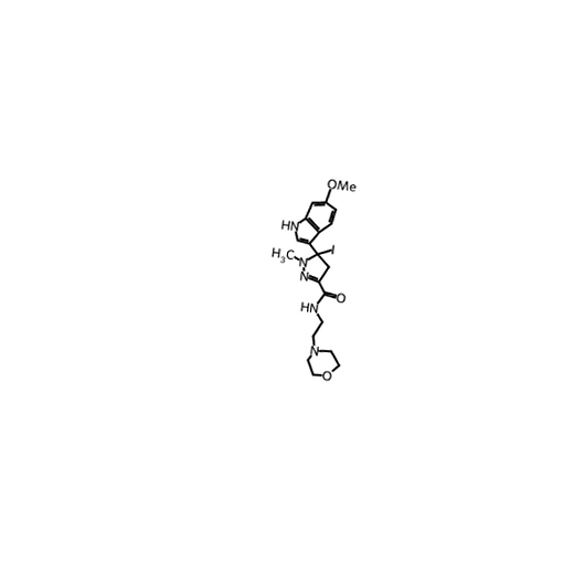 COc1ccc2c(C3(I)CC(C(=O)NCCN4CCOCC4)=NN3C)c[nH]c2c1